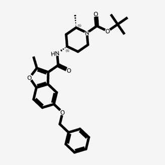 Cc1oc2ccc(OCc3ccccc3)cc2c1C(=O)N[C@H]1CCN(C(=O)OC(C)(C)C)[C@@H](C)C1